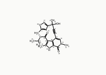 Cc1cc(C(C)(O)C#Cc2cn(C)c(=O)c3[nH]c(C)c(C(=O)OC(C)C)c23)no1